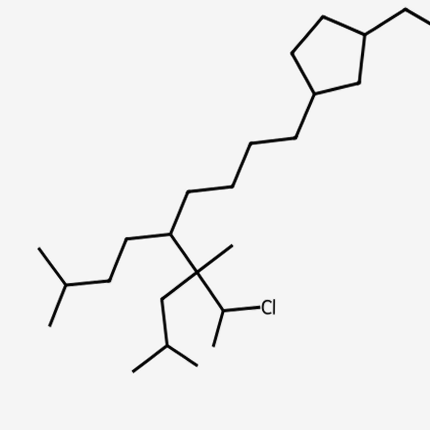 CCC1CCC(CCCCC(CCC(C)C)C(C)(CC(C)C)C(C)Cl)C1